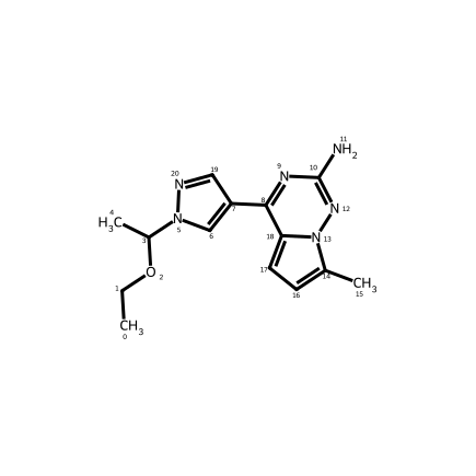 CCOC(C)n1cc(-c2nc(N)nn3c(C)ccc23)cn1